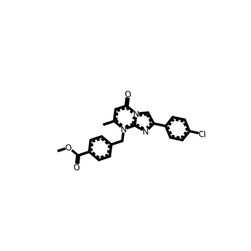 COC(=O)c1ccc(Cn2c(C)cc(=O)n3cc(-c4ccc(Cl)cc4)nc23)cc1